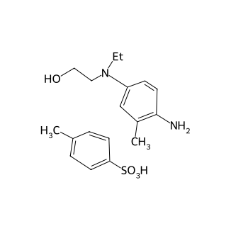 CCN(CCO)c1ccc(N)c(C)c1.Cc1ccc(S(=O)(=O)O)cc1